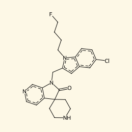 O=C1N(Cc2cc3cc(Cl)ccc3n2CCCCF)c2cnccc2C12CCNCC2